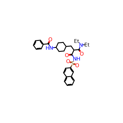 CCN(CC)C(=O)C(CC1CCC(NC(=O)c2ccccc2)CC1)C(=O)NS(=O)(=O)c1ccc2ccccc2c1